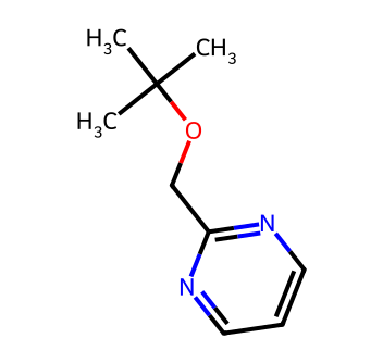 CC(C)(C)OCc1ncccn1